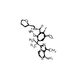 Cc1nc([C@@](C)([SiH3])c2cc(Cl)c(F)c(C(=O)NCC3CCCO3)c2OC(C)C)n2ccnc(N)c12